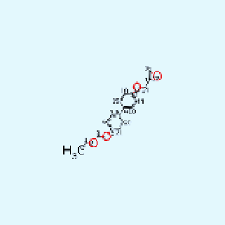 CCOCOc1ccc(C2=C=C=C(OCC3CO3)C=C2)cc1